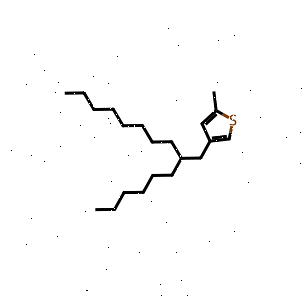 CCCCCCCCC(CCCCCC)Cc1csc(C)c1